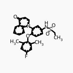 CCS(=O)(=O)Nc1ccc(Oc2c(C)cc(F)cc2C)c(-n2ccc(=O)c3ccccc32)c1